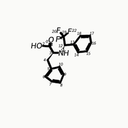 O=C(O)[C@H](Cc1ccccc1)N[C@@H](c1ccccc1)C(F)(F)F